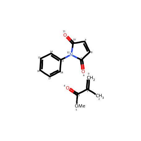 C=C(C)C(=O)OC.O=C1C=CC(=O)N1c1ccccc1